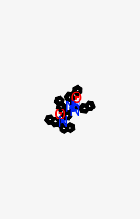 c1ccc2cc(-c3nc(-c4cccc5c4oc4ccccc45)nc(-c4ccc(-n5c6cc7ccccc7cc6c6ccc7ccccc7c65)c5oc6cc7ccccc7cc6c45)n3)ccc2c1